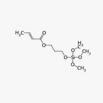 C/C=C/C(=O)OCCCO[Si](OC)(OC)OC